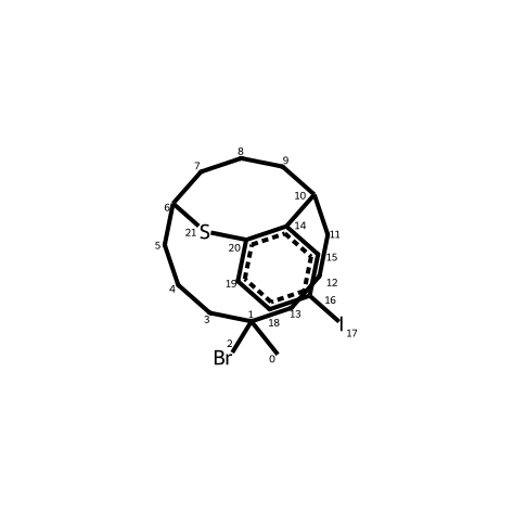 CC1(Br)CCCC2CCCC(CCC1)c1cc(I)ccc1S2